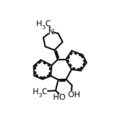 CC(O)C1=C(CO)c2ccccc2C(=C2CCN(C)CC2)c2ccccc21